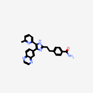 Cc1cccc(-c2[nH]c(CCc3ccc(C(N)=O)cc3)nc2-c2ccc3nccnc3c2)n1